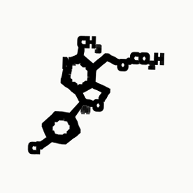 Cc1ncc2c(c1COC(=O)O)CO[C@H]2c1ccc(Cl)cc1